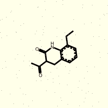 CCc1cccc2c1NC(=O)C(C(C)=O)C2